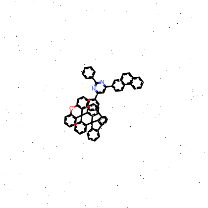 c1ccc(-c2nc(-c3cccc(-c4cccc5c4C4(c6ccccc6-5)c5ccccc5C5(c6ccccc6Oc6ccccc65)c5ccccc54)c3)cc(-c3ccc4c(ccc5ccccc54)c3)n2)cc1